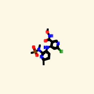 CONC(=O)c1cnc(Cl)cc1Nc1ccc(C)nc1N(C)S(C)(=O)=O